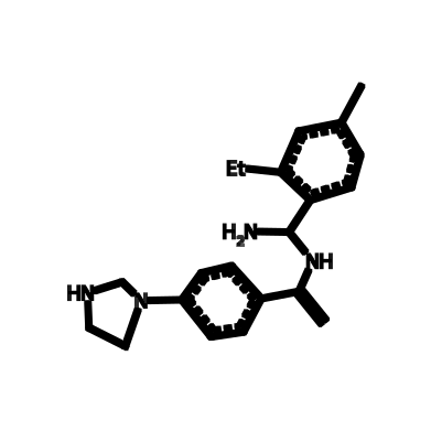 C=C(NC(N)c1ccc(C)cc1CC)c1ccc(N2CCNC2)cc1